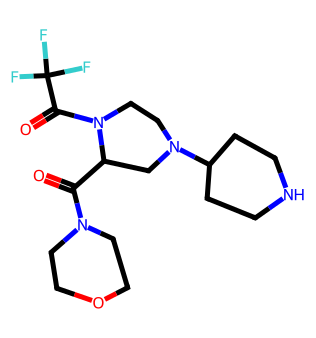 O=C(C1CN(C2CCNCC2)CCN1C(=O)C(F)(F)F)N1CCOCC1